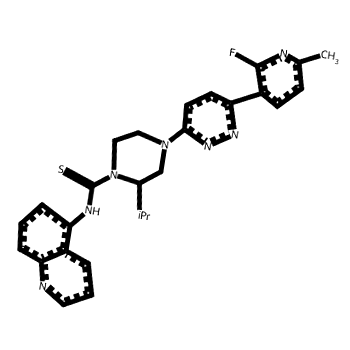 Cc1ccc(-c2ccc(N3CCN(C(=S)Nc4cccc5ncccc45)C(C(C)C)C3)nn2)c(F)n1